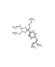 CCC[CH2][Sn]([CH2]CCC)([CH2]CCC)[c]1ccc(OC(C)OC)cn1